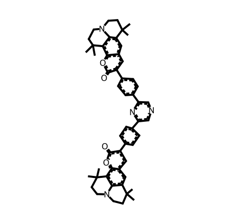 CC1(C)CCN2CCC(C)(C)c3c2c1cc1cc(-c2ccc(-c4cncc(-c5ccc(-c6cc7cc8c9c(c7oc6=O)C(C)(C)CCN9CCC8(C)C)cc5)n4)cc2)c(=O)oc31